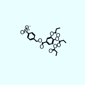 CCC(=O)Oc1cc(C(=O)OCc2ccc([N+](=O)[O-])cc2)cc(OC(=O)CC)c1OC(=O)CC